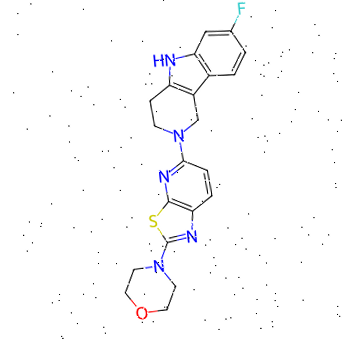 Fc1ccc2c3c([nH]c2c1)CCN(c1ccc2nc(N4CCOCC4)sc2n1)C3